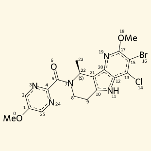 COc1cnc(C(=O)N2CCc3[nH]c4c(Cl)c(Br)c(OC)nc4c3[C@@H]2C)nc1